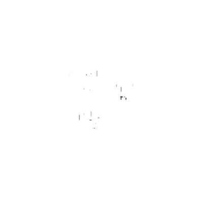 O=[PH](O)Oc1cc(O[PH](=O)O)cc(O[PH](=O)O)c1